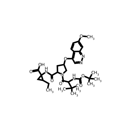 CCC1CC1(NC(=O)C1CC(Oc2cnnc3cc(OC)ccc23)CN1C(=O)C(NC(=O)OC(C)(C)C)C(C)(C)C)C(=O)O